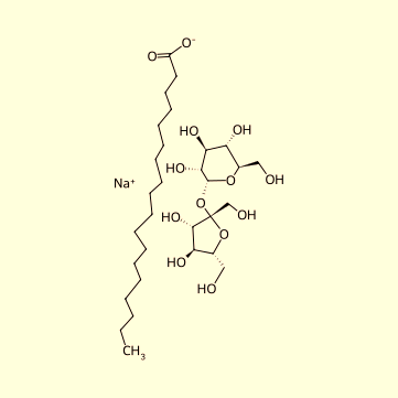 CCCCCCCCCCCCCCCCCC(=O)[O-].OC[C@H]1O[C@@](CO)(O[C@H]2O[C@H](CO)[C@@H](O)[C@H](O)[C@H]2O)[C@@H](O)[C@@H]1O.[Na+]